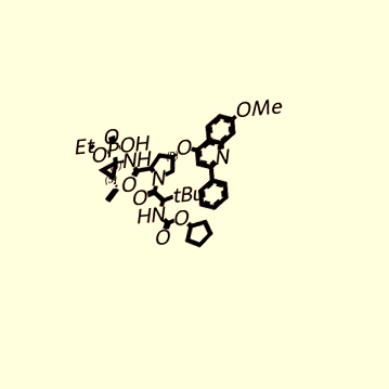 C=C[C@@H]1C[C@]1(NC(=O)C1C[C@@H](Oc2cc(-c3ccccc3)nc3cc(OC)ccc23)CN1C(=O)C(NC(=O)OC1CCCC1)C(C)(C)C)P(=O)(O)OCC